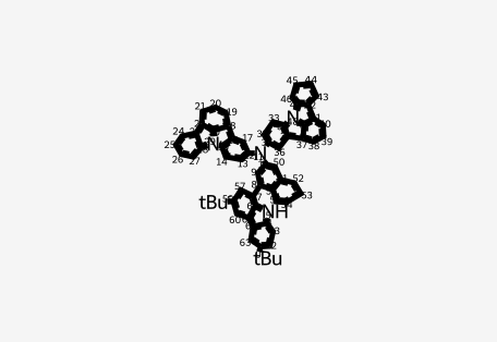 CC(C)(C)c1ccc2[nH]c3c(-c4cc(N(c5ccc6c(c5)c5cccc7c8ccccc8n6c75)c5ccc6c(c5)c5cccc7c8ccccc8n6c75)cc5ccccc45)cc(C(C)(C)C)cc3c2c1